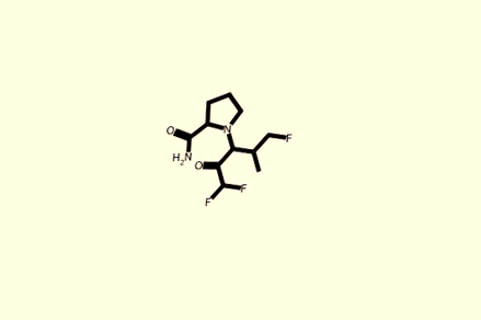 CC(CF)C(C(=O)C(F)F)N1CCCC1C(N)=O